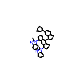 Cc1nc2ccccc2n1-c1cccc2c(-c3cccc4ccc(-c5ccccc5)cc34)c3cccc(-n4c(C)nc5ccccc54)c3cc12